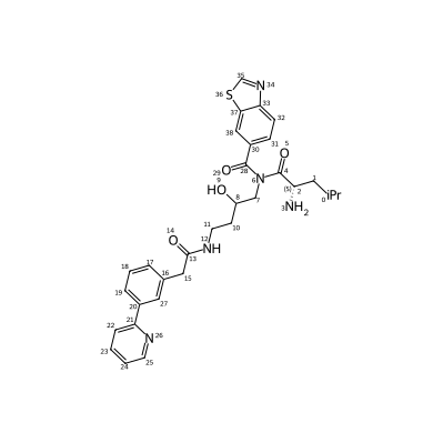 CC(C)C[C@H](N)C(=O)N(CC(O)CCNC(=O)Cc1cccc(-c2ccccn2)c1)C(=O)c1ccc2ncsc2c1